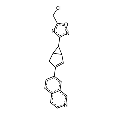 ClCc1nc(C2C3C=C(c4ccc5ccncc5c4)CC32)no1